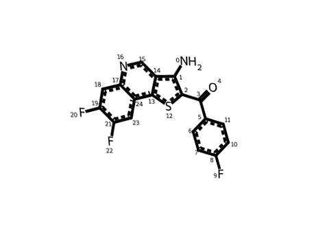 Nc1c(C(=O)c2ccc(F)cc2)sc2c1cnc1cc(F)c(F)cc12